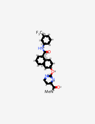 CNC(=O)c1ccnc(Oc2ccc3c(C(=O)Nc4cccc(C(F)(F)F)c4)cccc3c2)n1